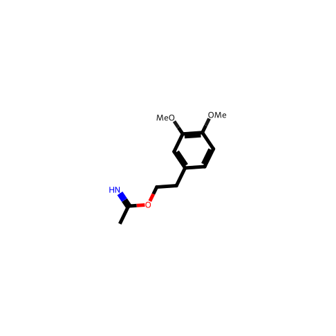 COc1ccc(CCOC(C)=N)cc1OC